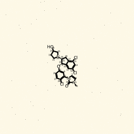 Cn1ccn(-c2cc(O[C@H]3c4cc(Cl)cc(Cl)c4C[C@@H]3N3CCC(O)C3)ccc2Cl)c1=O